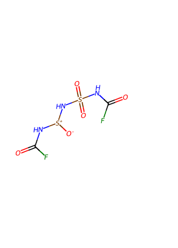 O=C(F)N[S+]([O-])NS(=O)(=O)NC(=O)F